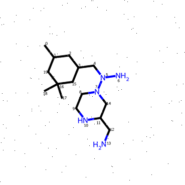 CC1CC(CN(N)N2CCNC(CN)C2)CC(C)(C)C1